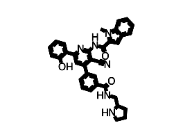 Cn1c(C(=O)Nc2nc(-c3ccccc3O)cc(-c3cccc(C(=O)NCC4CCCN4)c3)c2C#N)cc2ccccc21